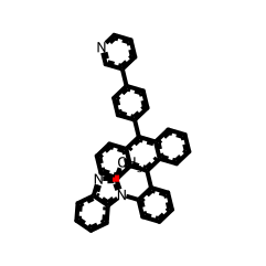 Cc1nc2ccccc2n1-c1ccccc1-c1c2ccccc2c(-c2ccc(-c3cccnc3)cc2)c2ccccc12